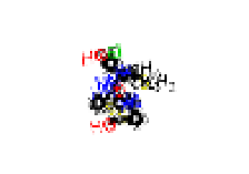 CSCC(C)(C)c1cc(NC(=O)NCc2ccccc2Sc2ccc3nnc(-c4ccccc4SCCO)n3c2)n(-c2ccc(O)c(Cl)c2)n1